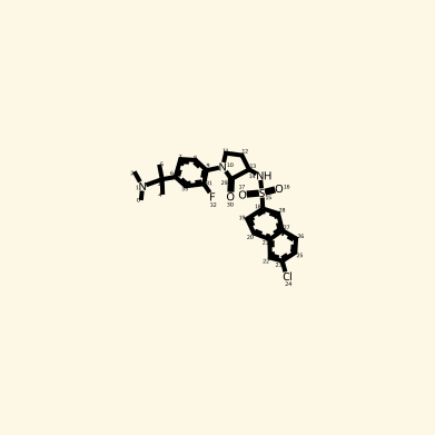 CN(C)C(C)(C)c1ccc(N2CCC(NS(=O)(=O)c3ccc4cc(Cl)ccc4c3)C2=O)c(F)c1